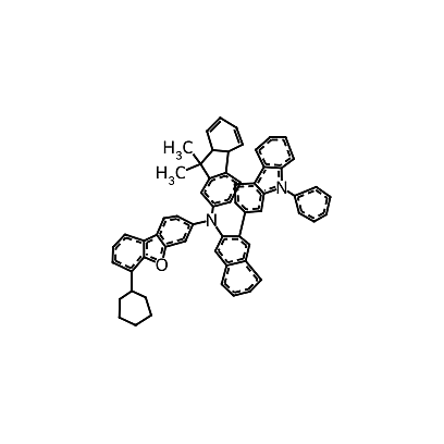 CC1(C)c2cc(N(c3ccc4c(c3)oc3c(C5CCCCC5)cccc34)c3cc4ccccc4cc3-c3ccc4c5ccccc5n(-c5ccccc5)c4c3)ccc2C2C=CC=CC21